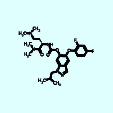 CC(C)Cn1ncc2cc(Oc3ccc(F)cc3F)c(OC(=O)N[C@@H](CCN(C)C)C(=O)N(C)C)cc21